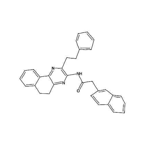 O=C(Cc1ccc2ccccc2c1)Nc1nc2c(nc1CCc1ccccc1)-c1ccccc1CC2